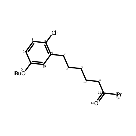 CC(C)COc1ccc(Cl)c(CCCCCC(=O)C(C)C)c1